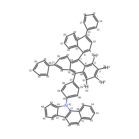 [2H]c1c([2H])c([2H])c2c(-c3ccc(-c4ccccc4)c4ccccc34)c3ccc(-c4ccccc4)cc3c(-c3ccc(-n4c5ccccc5c5ccc6ccccc6c54)cc3)c2c1[2H]